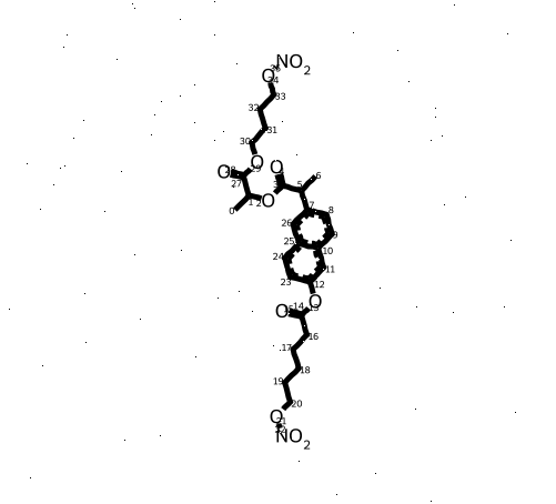 CC(OC(=O)C(C)c1ccc2cc(OC(=O)CCCCCO[N+](=O)[O-])ccc2c1)C(=O)OCCCCO[N+](=O)[O-]